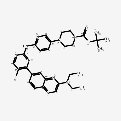 CCN(CC)c1cnc2ccc(-c3nc(Nc4ccc(N5CCN(C(=O)OC(C)(C)C)CC5)cn4)ncc3F)cc2n1